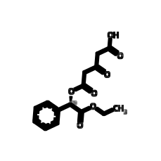 CCOC(=O)[C@@H](OC(=O)CC(=O)CC(=O)O)c1ccccc1